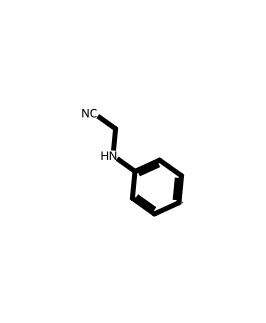 N#CCNc1cc[c]cc1